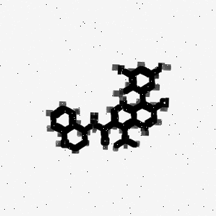 CN(C)c1c(C(=O)N[C@H]2CCOc3ccccc32)cnc2c(-c3cc(F)cc(F)c3F)c(Cl)cnc12